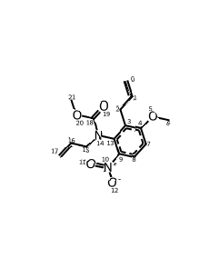 C=CCc1c(OC)ccc([N+](=O)[O-])c1N(CC=C)C(=O)OC